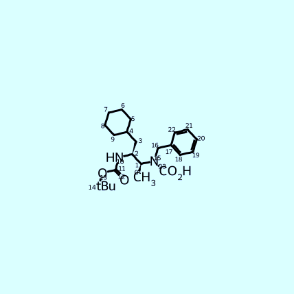 C[C@@H]([C@H](CC1CCCCC1)NC(=O)OC(C)(C)C)N(Cc1ccccc1)C(=O)O